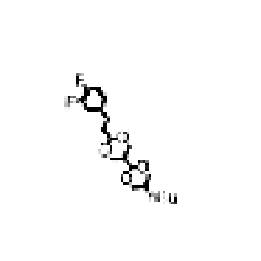 CCCCC1COC(C2COC(CCc3ccc(F)c(F)c3)OC2)OC1